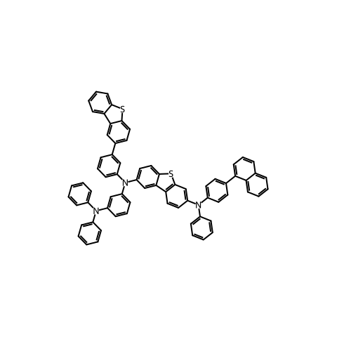 c1ccc(N(c2ccccc2)c2cccc(N(c3cccc(-c4ccc5sc6ccccc6c5c4)c3)c3ccc4sc5cc(N(c6ccccc6)c6ccc(-c7cccc8ccccc78)cc6)ccc5c4c3)c2)cc1